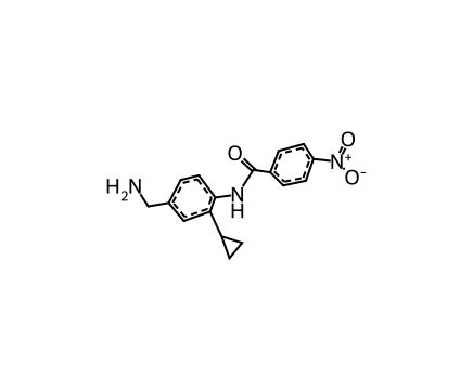 NCc1ccc(NC(=O)c2ccc([N+](=O)[O-])cc2)c(C2CC2)c1